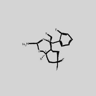 NC1=N[C@](CF)(c2ccccc2F)C2CC(F)(F)C[C@H]2O1